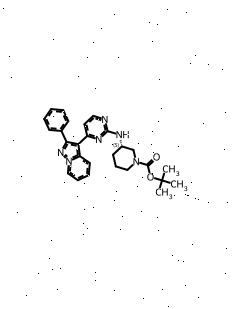 CC(C)(C)OC(=O)N1CCC[C@H](Nc2nccc(-c3c(-c4ccccc4)nn4ccccc34)n2)C1